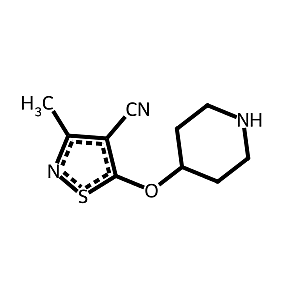 Cc1nsc(OC2CCNCC2)c1C#N